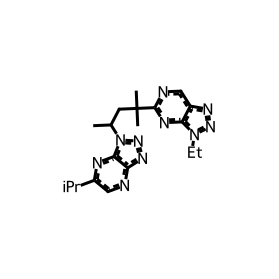 CCn1nnc2cnc(C(C)(C)CC(C)n3nnc4ncc(C(C)C)nc43)nc21